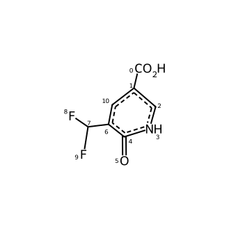 O=C(O)c1c[nH]c(=O)c(C(F)F)c1